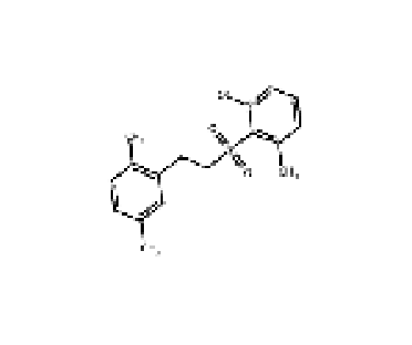 Cc1ccc(C)c(CCS(=O)(=O)c2c(C)ccc[n+]2[O-])c1